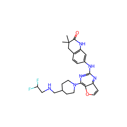 CC1(C)Cc2ccc(Nc3nc(N4CCC(CNCC(F)F)CC4)c4occc4n3)cc2NC1=O